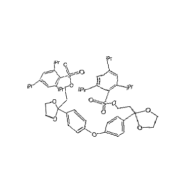 CC(C)c1cc(C(C)C)c(S(=O)(=O)OCCC2(c3ccc(Oc4ccc(C5(CCOS(=O)(=O)c6c(C(C)C)cc(C(C)C)cc6C(C)C)OCCO5)cc4)cc3)OCCO2)c(C(C)C)c1